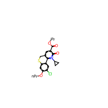 CCCOc1cc2c(cc1Cl)-c1c(cc(C(=O)OC(C)C)c(=O)n1C1CC1)CS2